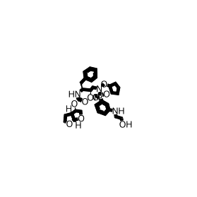 O=C(N[C@@H](Cc1ccccc1)[C@@H](O)CN(OC1CCCC1)S(=O)(=O)c1cccc(NCCO)c1)O[C@@H]1CO[C@@H]2OCC[C@@H]21